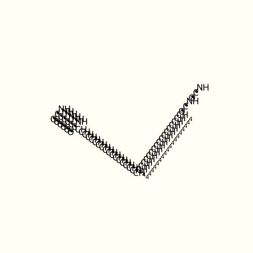 C.C.C.C.C.C.C.C.C.C.C.C.C.C.C.C.C.C.C.C.C.C.C.C.C.C.C.C.C.C.C.C.C.C.C.N=C=O.N=C=O.N=C=O.N=C=O.N=C=O.N=C=O.N=C=O.N=C=O